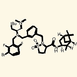 C[C@@H]1[C@@H](NC(=O)C2CCS(=O)(=O)N2Cc2cccc(CN(Cc3c(F)ccc(Br)c3F)[C@H](CN(C)C)CC(C)(C)C)c2)C[C@H]2C[C@@H]1C2(C)C